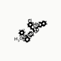 CC(=O)N(CC1(N2CCN(C(=O)C(Cc3ccc(Cl)cc3)NC(=O)C3Cc4ccccc4CN3)CC2)CCCCC1)c1ccccc1